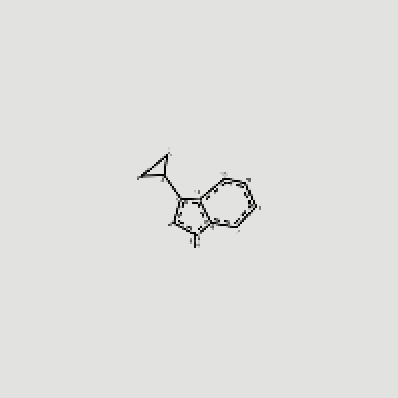 [CH]1CC1c1c[nH]c2ccccc12